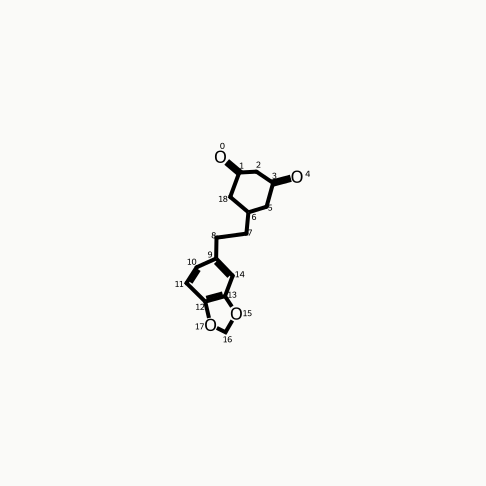 O=C1CC(=O)CC(CCc2ccc3c(c2)OCO3)C1